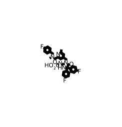 Cc1cc(CN2C(=O)C(c3ccc(F)cc3)(c3ccc(F)cc3)NC2=NC(=O)O)cc(C(=O)N(C)Cc2ccc(F)cc2)n1